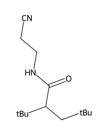 CC(C)(C)CC(C(=O)NCCC#N)C(C)(C)C